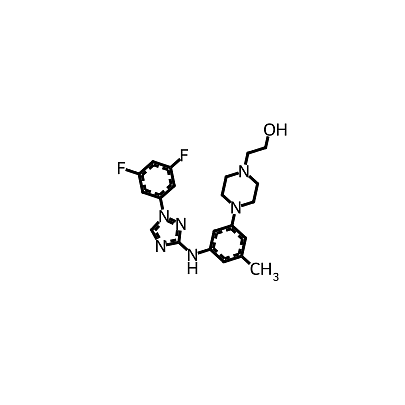 Cc1cc(Nc2ncn(-c3cc(F)cc(F)c3)n2)cc(N2CCN(CCO)CC2)c1